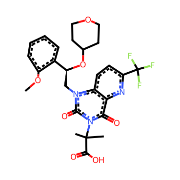 COc1ccccc1[C@H](Cn1c(=O)n(C(C)(C)C(=O)O)c(=O)c2nc(C(F)(F)F)ccc21)OC1CCOCC1